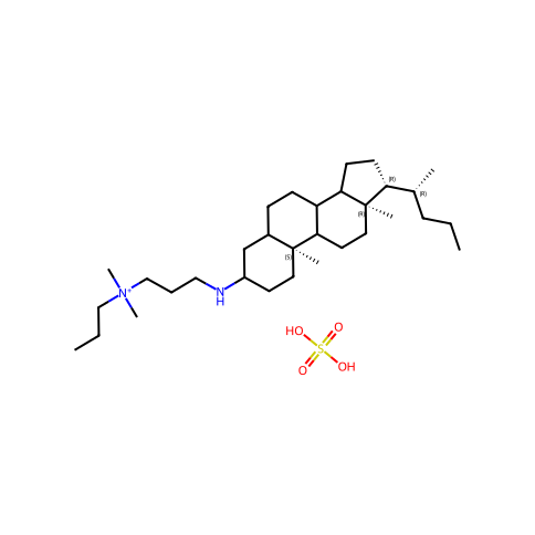 CCC[C@@H](C)[C@H]1CCC2C3CCC4CC(NCCC[N+](C)(C)CCC)CC[C@]4(C)C3CC[C@@]21C.O=S(=O)(O)O